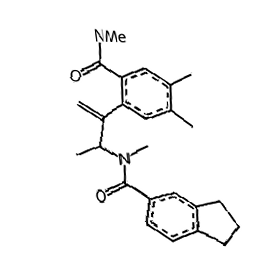 C=C(c1cc(C)c(C)cc1C(=O)NC)C(C)N(C)C(=O)c1ccc2c(c1)CCC2